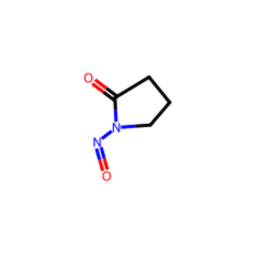 O=NN1CCCC1=O